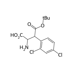 CC(C)(C)OC(=O)C(c1ccc(Cl)cc1Cl)C(N)C(=O)O